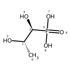 C[C@H](O)[C@@H](O)P(=O)(O)O